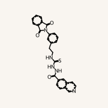 O=C(NNC(=S)NCCc1cccc(N2C(=O)c3ccccc3C2=O)c1)c1ccc2cnccc2c1